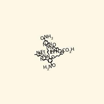 CCn1nc(C)cc1C(=O)Nc1nc2cc(C(N)=O)cnc2n1CC=CCn1c2nc(-c3cc(C)nn3CC)ncc2c2cc(C(N)=O)cc(OCCCC3CN(C(=O)O)C3)c21